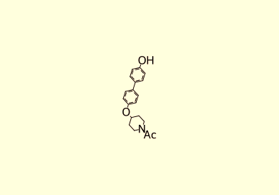 CC(=O)N1CCC(Oc2ccc(-c3ccc(O)cc3)cc2)CC1